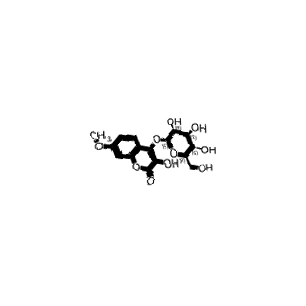 COc1ccc2c(O[C@@H]3O[C@H](CO)[C@@H](O)[C@H](O)[C@H]3O)c(O)c(=O)oc2c1